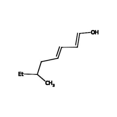 CCC(C)CC=CC=CO